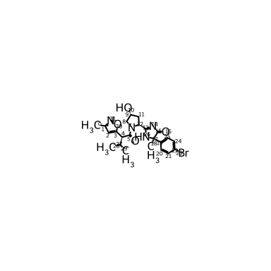 Cc1cc([C@@H](C(=O)N2C[C@H](O)C[C@H]2C2=NC(=O)[C@](C)(c3ccc(Br)cc3)N2)C(C)C)on1